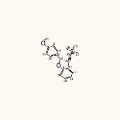 COc1ccc(COc2ccccc2C#C[Si](C)(C)C)cc1